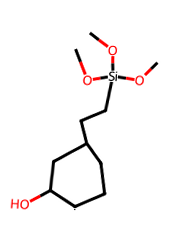 CO[Si](CCC1CC[CH]C(O)C1)(OC)OC